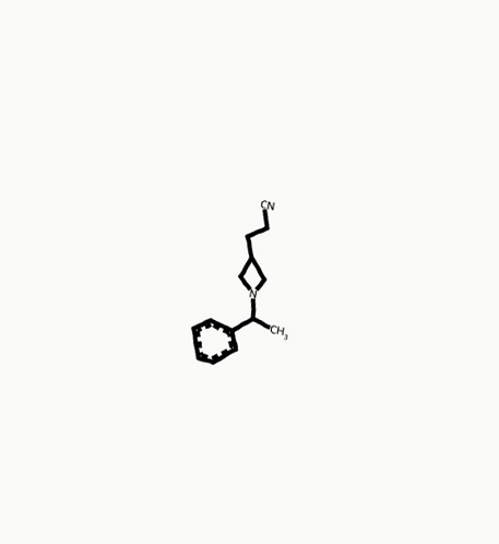 CC(c1ccccc1)N1CC(CCC#N)C1